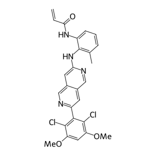 C=CC(=O)Nc1cccc(C)c1Nc1cc2cnc(-c3c(Cl)c(OC)cc(OC)c3Cl)cc2cn1